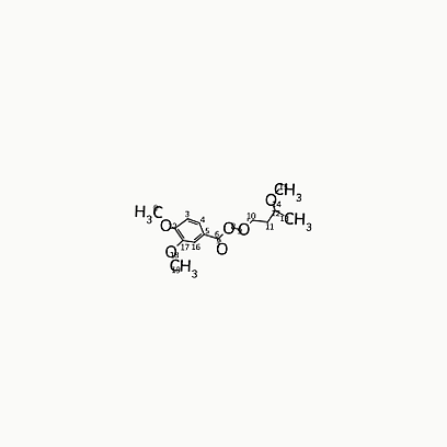 COc1ccc(C(=O)OO[CH]CC(C)OC)cc1OC